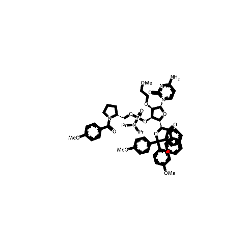 COCCO[C@@H]1[C@H](OP(=O)(OC[C@H]2CCCN2C(=O)c2ccc(OC)cc2)N(C(C)C)C(C)C)[C@@H](C(OC(c2ccccc2)(c2ccc(OC)cc2)c2ccc(OC)cc2)C(=O)c2ccccc2)O[C@H]1n1ccc(N)nc1=O